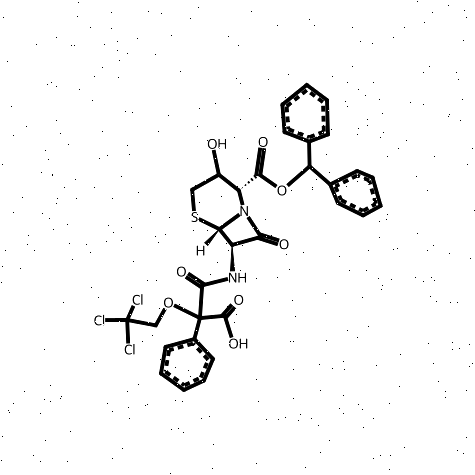 O=C(OC(c1ccccc1)c1ccccc1)[C@H]1C(O)CS[C@H]2[C@H](NC(=O)C(OCC(Cl)(Cl)Cl)(C(=O)O)c3ccccc3)C(=O)N12